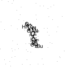 Cn1nc(N2CCC(=O)NC2=O)c2ccc(C3CCN(C(=O)OC(C)(C)C)C(C)(C)C3)cc21